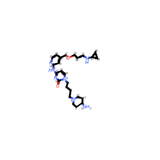 NC1CCN(CCCCn2ccc(Nc3cc(COCCCNC4CC4)ccn3)nc2=O)CC1